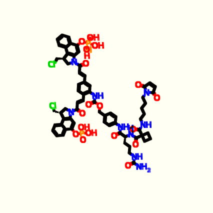 NC(=O)NCCC[C@H](NC(=O)C1(C(=O)NCCCCCN2C(=O)C=CC2=O)CCC1)C(=O)Nc1ccc(COC(=O)Nc2cc(/C=C/C(=O)N3C[C@@H](CCl)c4c3cc(O[PH](O)(O)O)c3ccccc43)ccc2/C=C/C(=O)N2C[C@@H](CCl)c3c2cc(OP(=O)(O)O)c2ccccc32)cc1